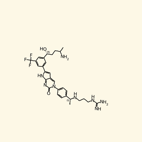 CC(N)CC[C@@H](O)c1cc(-c2cc3cn(-c4ccc([C@H](C)NCCCNC(=N)N)cc4)c(=O)nc3[nH]2)cc(C(F)(F)F)c1